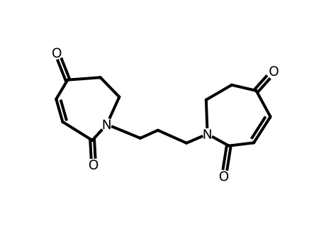 O=C1C=CC(=O)N(CCCN2CCC(=O)C=CC2=O)CC1